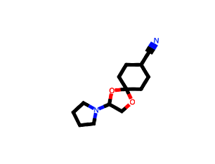 N#CC1CCC2(CC1)OCC(N1CCCC1)O2